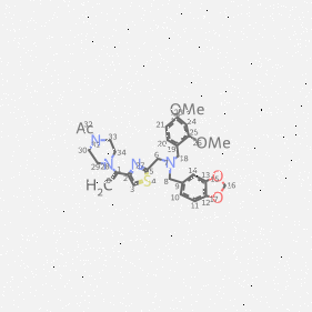 C=C(c1csc(CN(Cc2ccc3c(c2)OCO3)Cc2ccc(OC)cc2OC)n1)N1CCN(C(C)=O)CC1